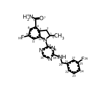 CC1Cc2c(C(N)=O)cc(F)cc2N1c1ncnc(NCc2cccc(F)c2)n1